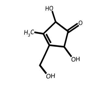 CC1=C(CO)C(O)C(=O)C1O